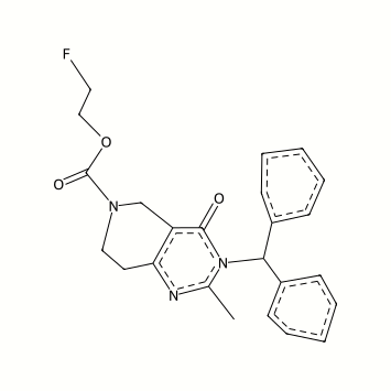 Cc1nc2c(c(=O)n1C(c1ccccc1)c1ccccc1)CN(C(=O)OCCF)CC2